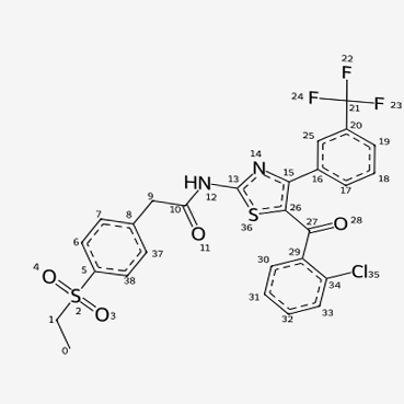 CCS(=O)(=O)c1ccc(CC(=O)Nc2nc(-c3cccc(C(F)(F)F)c3)c(C(=O)c3ccccc3Cl)s2)cc1